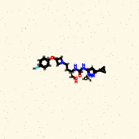 Cn1nc(C2CC2)cc1NC(=O)N[C@H](CO)CCN1CC(Oc2ccc(F)cc2)C1